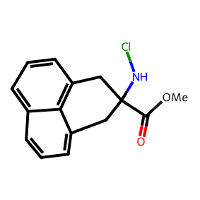 COC(=O)C1(NCl)Cc2cccc3cccc(c23)C1